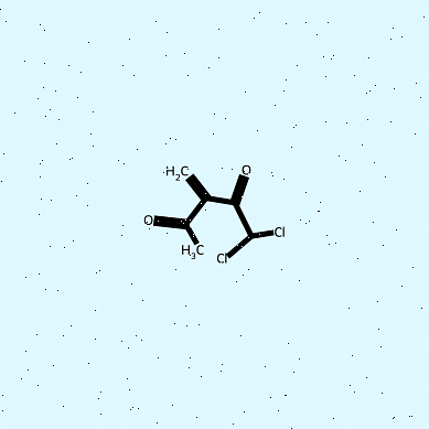 C=C(C(C)=O)C(=O)C(Cl)Cl